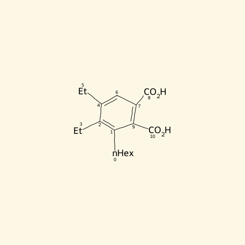 CCCCCCc1c(CC)c(CC)cc(C(=O)O)c1C(=O)O